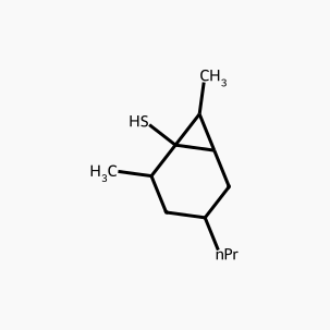 CCCC1CC(C)C2(S)C(C)C2C1